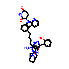 Nc1nnc(-c2ccccc2O)cc1N1CC2CCC(C1)N2c1nccc(CCCCc2cccc3c2c2cccnc2n3C2CCC(=O)NC2=O)n1